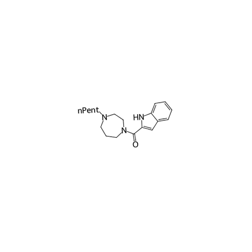 CCCCCN1CCCN(C(=O)c2cc3ccccc3[nH]2)CC1